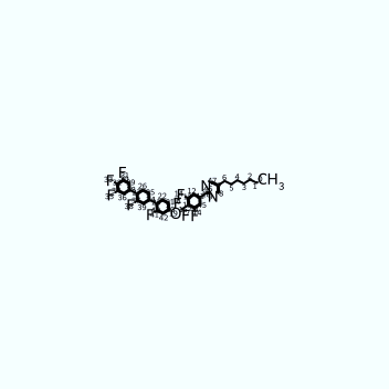 CCCCCCCc1cnc(-c2cc(F)c(C(F)(F)Oc3ccc(-c4ccc(-c5cc(F)c(F)c(F)c5)c(F)c4)c(F)c3)c(F)c2)nc1